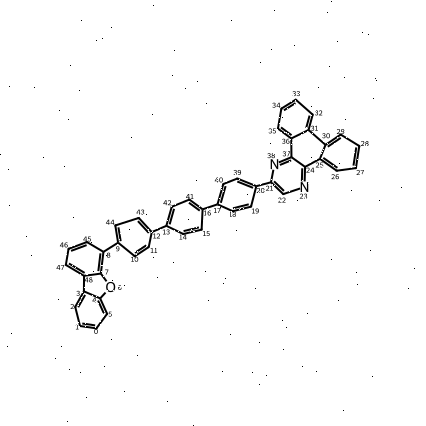 c1ccc2c(c1)oc1c(-c3ccc(-c4ccc(-c5ccc(-c6cnc7c8ccccc8c8ccccc8c7n6)cc5)cc4)cc3)cccc12